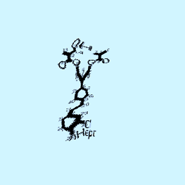 C=C(C)C(=O)OCC(COC(=O)C(=C)CO)C1CCC(CCc2ccc(CCCCCCC)c(Cl)c2)CC1